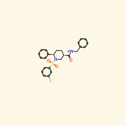 O=C(NCc1ccccc1)[C@@H]1CC[C@H](c2ccccc2)N(S(=O)(=O)c2cccc(F)c2)C1